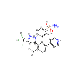 CC(C)c1ccc(-c2ccncc2)cc1-c1cc(C(F)(F)F)nn1-c1ccc(S(N)(=O)=O)cc1